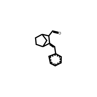 O=CC1C(=Cc2ccccc2)C2CCC1C2